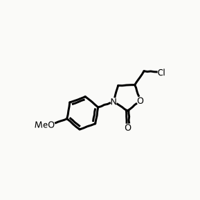 COc1ccc(N2CC(CCl)OC2=O)cc1